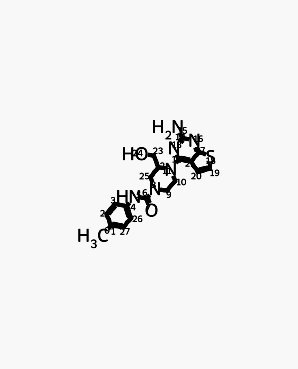 Cc1ccc(NC(=O)N2CCN(c3nc(N)nc4sccc34)C(CO)C2)cc1